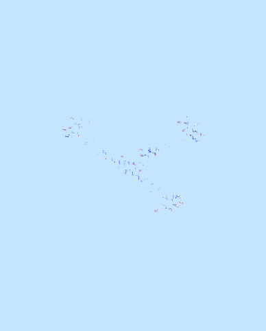 CNC(CC(=O)NC(CC(=O)NCC(=O)NCCCCCCOC1OC(CO)C(O)C(O)C1NC(C)=O)C(=O)NCC(=O)NCCCCCCOC1OC(CO)C(O)C(O)C1NC(C)=O)C(=O)NCC(=O)NCCCCCCOC(OC(CO)[C@@H](C)O)[C@H](CO)NC(C)=O